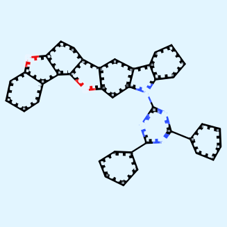 c1ccc(-c2nc(-c3ccccc3)nc(-n3c4ccccc4c4cc5c(cc43)oc3c5ccc4oc5ccccc5c43)n2)cc1